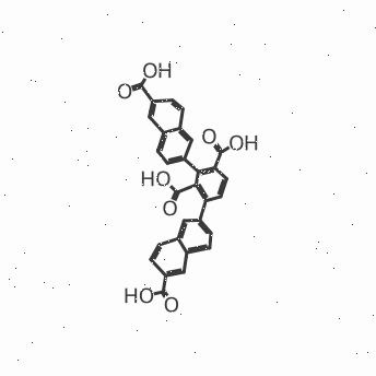 O=C(O)c1ccc2cc(-c3ccc(C(=O)O)c(-c4ccc5cc(C(=O)O)ccc5c4)c3C(=O)O)ccc2c1